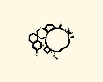 CO[C@H]1/C=C/CCN(C)S(=O)(=O)NC(=O)c2ccc3c(c2)N(C[C@@H]2CC[C@H]21)C[C@@]1(CCCc2cc(Cl)ccc21)CO3